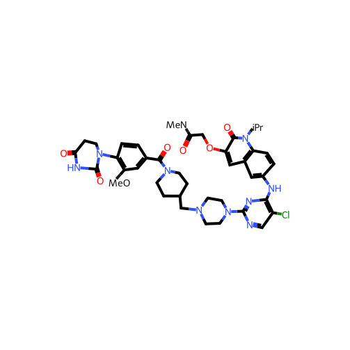 CNC(=O)COc1cc2cc(Nc3nc(N4CCN(CC5CCN(C(=O)c6ccc(N7CCC(=O)NC7=O)c(OC)c6)CC5)CC4)ncc3Cl)ccc2n(C(C)C)c1=O